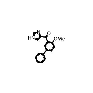 COc1ccc(-c2ccccc2)cc1C(=O)c1c[nH]cn1